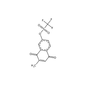 CC1=CC(=O)c2ccc(OS(=O)(=O)C(F)(F)F)cc2C1=O